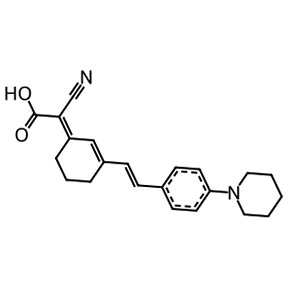 N#C/C(C(=O)O)=C1C=C(/C=C/c2ccc(N3CCCCC3)cc2)CCC\1